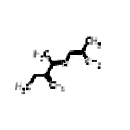 C=C(CC)/C(C)=N/C=C(C)C